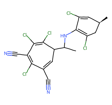 CC(NC1=C(Cl)C[C@H](C)C=C1Cl)C1C=C(C#N)C(Cl)=C(C#N)C(Cl)=C1Cl